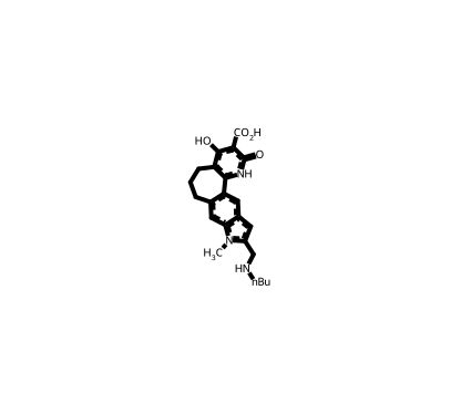 CCCCNCc1cc2cc3c(cc2n1C)CCCc1c-3[nH]c(=O)c(C(=O)O)c1O